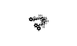 C[C@H](NC(=O)OCC1c2ccccc2-c2ccccc21)C(=O)N[C@@H](C)C(=O)N[C@@H](C)C(=O)NCOCC(=O)Oc1ccccc1